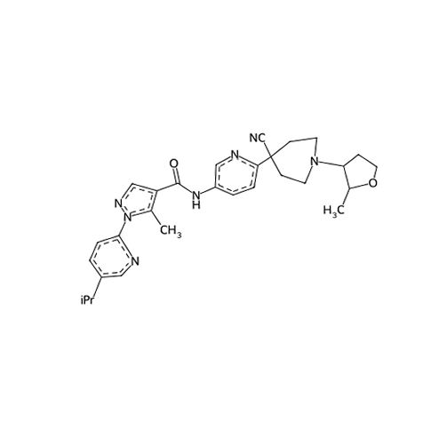 Cc1c(C(=O)Nc2ccc(C3(C#N)CCN(C4CCOC4C)CC3)nc2)cnn1-c1ccc(C(C)C)cn1